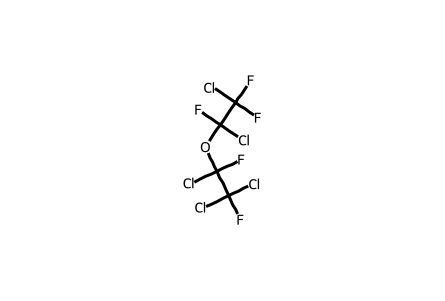 FC(F)(Cl)C(F)(Cl)OC(F)(Cl)C(F)(Cl)Cl